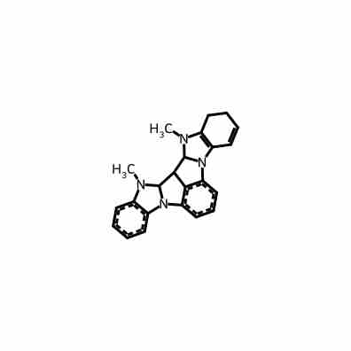 CN1C2=C(C=CCC2)N2c3cccc4c3C(C12)C1N(C)c2ccccc2N41